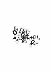 C/N=C/[C@H](C[C@@H]1CCNC1=O)NC(=O)[C@@H]1[C@@H]2[C@H](CN1C(=O)[C@@H](NC(=O)[C@@H]1C[C@H]1c1ccc(F)cc1)C(C)(C)C)C2(C)C